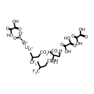 CC(CC(=O)O)C(F)(F)F.CC(CC(=O)O)C(F)(F)F.CC(CC(=O)O)C(F)(F)F.O=C(O)C(=O)O.O=C(O)C(=O)O.O=C(O)C(=O)O.[Li+].[Li+].[Li+].[O-]B([O-])[O-]